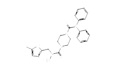 CCN(Cc1ccc(C)s1)C(=O)N1CCN(C(=O)N(c2ccccc2)c2ccccc2)CC1